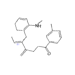 C=C(CCC(=O)c1cccc(C)c1)/C(=C/C)CC1=C(NC)C=CCC1